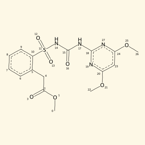 COC(=O)Cc1ccccc1S(=O)(=O)NC(=O)Nc1nc(OC)cc(OC)n1